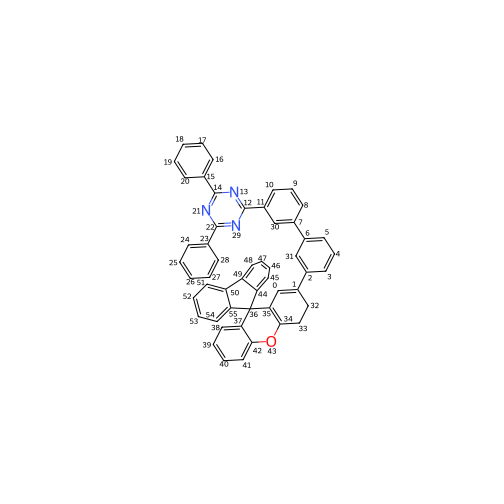 C1=C(c2cccc(-c3cccc(-c4nc(-c5ccccc5)nc(-c5ccccc5)n4)c3)c2)CCC2=C1C1(c3ccccc3O2)c2ccccc2-c2ccccc21